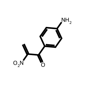 C=C(C(=O)c1ccc(N)cc1)[N+](=O)[O-]